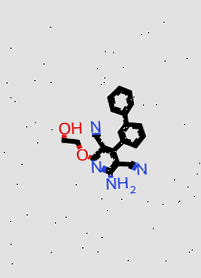 N#Cc1c(N)nc(OCCO)c(C#N)c1-c1cccc(-c2ccccc2)c1